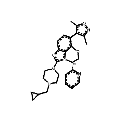 Cc1noc(C)c1-c1ccc2nc(N3CCN(CC4CC4)CC3)n3c2c1OC[C@@H]3c1ccccn1